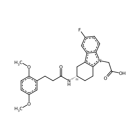 COc1ccc(OC)c(CCC(=O)N[C@H]2CCc3c(c4cc(F)ccc4n3CC(=O)O)C2)c1